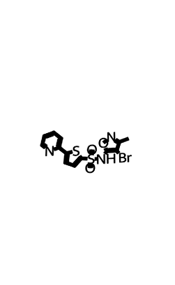 Cc1noc(NS(=O)(=O)c2ccc(-c3ccccn3)s2)c1Br